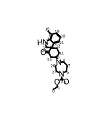 CCOC(=O)N1CCCN(C2CCC3(CNc4c(C)cccc43)C(=O)C2)CC1